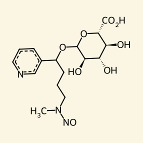 CN(CCCC(OC1O[C@H](C(=O)O)[C@@H](O)[C@H](O)[C@H]1O)c1cccnc1)N=O